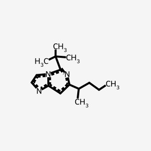 CCCC(C)c1cc2nccn2c(C(C)(C)C)n1